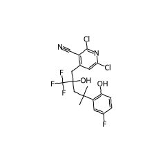 CC(C)(CC(O)(Cc1cc(Cl)nc(Cl)c1C#N)C(F)(F)F)c1cc(F)ccc1O